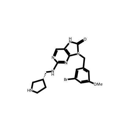 COc1cc(Br)cc(Cn2c(=O)[nH]c3cnc(NC[C@@H]4CCNC4)nc32)c1